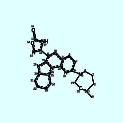 CN1CCCN(c2ccc3cc(-c4noc(=O)[nH]4)c4nc5ccccc5n4c3n2)CC1